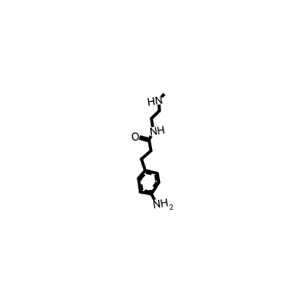 CNCCNC(=O)CCc1ccc(N)cc1